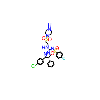 O=S(=O)(N=C(NCCS(=O)(=O)N1CCNCC1)N1C[C@H](c2ccccc2)C(c2ccc(Cl)cc2)=N1)c1ccc(F)cc1